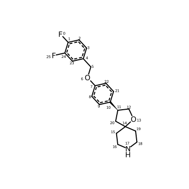 Fc1ccc(COc2ccc([C@H]3COC4(CCNCC4)C3)cc2)cc1F